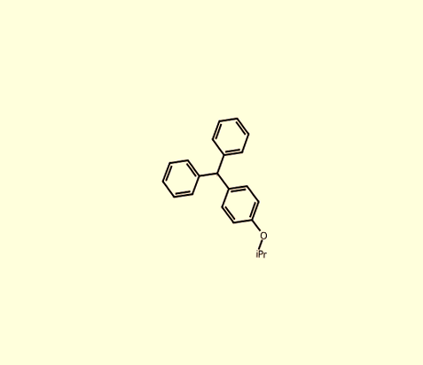 CC(C)Oc1ccc([C](c2ccccc2)c2ccccc2)cc1